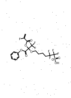 C=C(F)C(=O)OC(OCCCCC(F)(F)C(F)(F)S(=O)(=O)O)(C(=O)Oc1ccccc1)C(F)(F)F